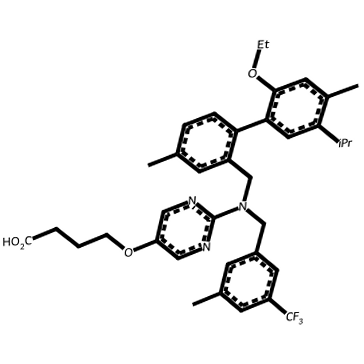 CCOc1cc(C)c(C(C)C)cc1-c1ccc(C)cc1CN(Cc1cc(C)cc(C(F)(F)F)c1)c1ncc(OCCCC(=O)O)cn1